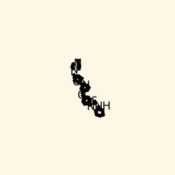 CN1CCN(Cc2ccc(-c3cc(Oc4ccc5nc(NC6CCCCC6)sc5c4)ccn3)cc2)CC1